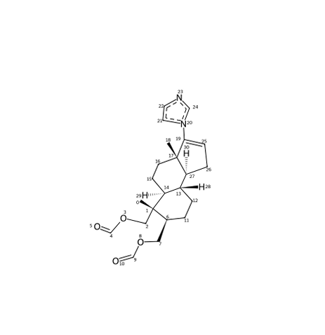 C[C@]1(COC=O)[C@H](COC=O)CC[C@@H]2[C@@H]1CC[C@]1(C)C(n3ccnc3)=CC[C@@H]21